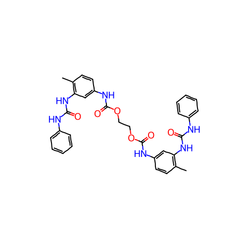 Cc1ccc(NC(=O)OCCOC(=O)Nc2ccc(C)c(NC(=O)Nc3ccccc3)c2)cc1NC(=O)Nc1ccccc1